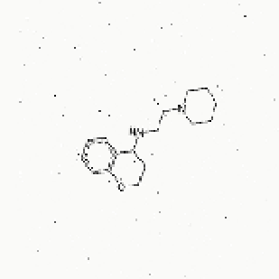 c1ccc2c(c1)OCCC2NCCN1CCCCC1